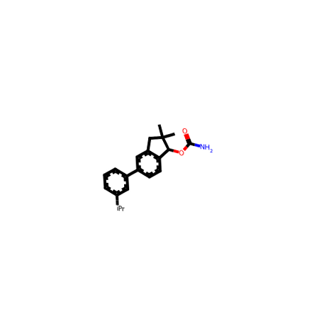 CC(C)c1cccc(-c2ccc3c(c2)CC(C)(C)C3OC(N)=O)c1